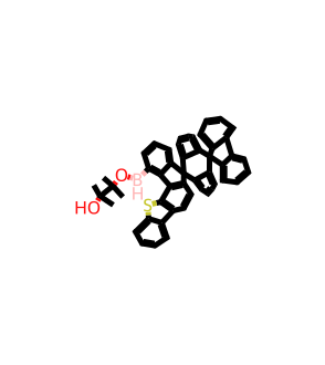 CC(C)(O)C(C)(C)OBc1cccc2c1-c1c(ccc3c1sc1ccccc13)C21c2ccccc2C2(c3ccccc3-c3ccccc32)c2ccccc21